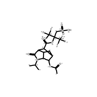 CC(=O)OC1C2CC3C(C(=O)N(C(C)C)C31)C2C(=O)OC(CS(=O)(=O)O)(C(F)(F)F)C(F)(F)F